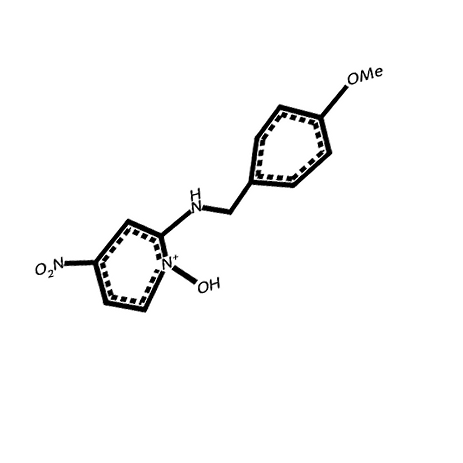 COc1ccc(CNc2cc([N+](=O)[O-])cc[n+]2O)cc1